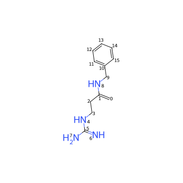 C=C(CCNC(=N)N)NCc1ccccc1